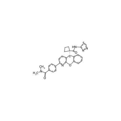 CN(C)C(=O)c1ccc(-c2ccc3c(n2)Oc2ccccc2[C@H]3C2(C(=O)Nc3nncs3)CCC2)cc1